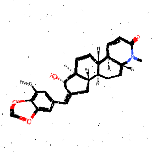 COc1cc(/C=C2/C[C@H]3[C@@H]4CC[C@H]5N(C)C(=O)C=C[C@]5(C)[C@H]4CC[C@]3(C)[C@H]2O)cc2c1OCO2